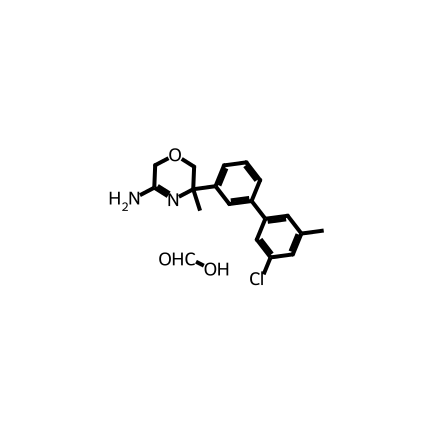 Cc1cc(Cl)cc(-c2cccc(C3(C)COCC(N)=N3)c2)c1.O=CO